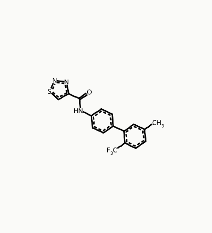 Cc1ccc(C(F)(F)F)c(-c2ccc(NC(=O)c3csnn3)cc2)c1